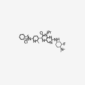 Cc1nc(NSc2ccccc2Cl)ccc1-c1nc2cnc(NC3CCC(N(C)C)C(F)C3)nc2n(C(C)C)c1=O